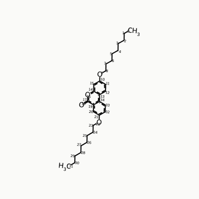 CCCCCCCCCOc1ccc2c(c1)oc(=O)c1cc(OCCCCCCCCC)ccc12